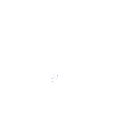 CCCCCCCCCCCCCCCCCC(=O)N(CCCCCCCCCCCC)[C@@H]1O[C@H](CO)[C@@H](O)[C@H](O)[C@@H]1NC(=O)CCCC(=O)O